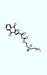 NCCS(=O)(=O)CCOC(=O)CC(=O)c1cc2c(o1)C(=O)c1ccccc1C2=O